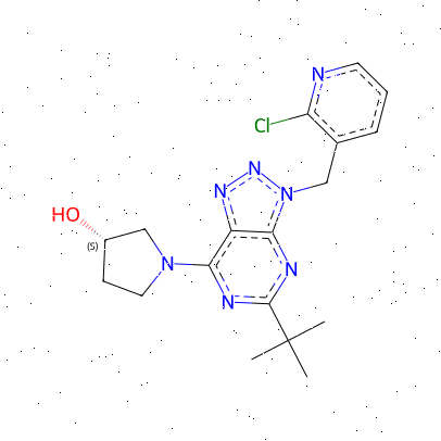 CC(C)(C)c1nc(N2CC[C@H](O)C2)c2nnn(Cc3cccnc3Cl)c2n1